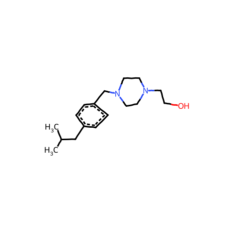 CC(C)Cc1ccc(CN2CCN(CCO)CC2)cc1